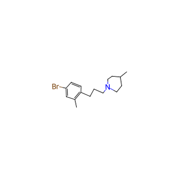 Cc1cc(Br)ccc1CCCN1CCC(C)CC1